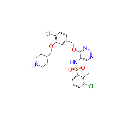 Cc1c(Cl)cccc1S(=O)(=O)Nc1cncnc1OCc1ccc(Cl)c(OCC2CCN(C)CC2)c1